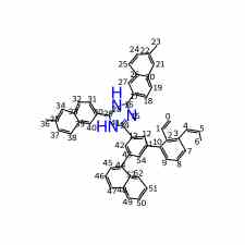 C=Cc1c(/C=C\C)cccc1-c1cc(C2=NC(c3ccc4cc(C)ccc4c3)NC(c3ccc4cc(C)ccc4c3)N2)cc(-c2cccc3ccccc23)c1